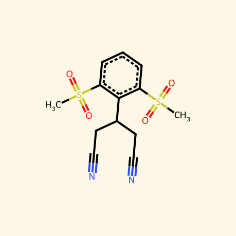 CS(=O)(=O)c1cccc(S(C)(=O)=O)c1C(CC#N)CC#N